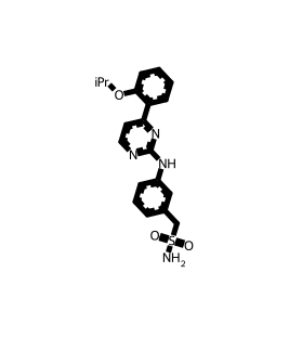 CC(C)Oc1ccccc1-c1ccnc(Nc2cccc(CS(N)(=O)=O)c2)n1